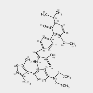 CCN(CC)c1ncc(-c2c(C)nsc2C)c(N[C@@H](Cc2ccc(-c3c(OC)ncn(C(C)C)c3=O)cc2)C(=O)O)n1